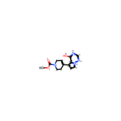 CC(C)(C)OC(=O)N1CC=C(c2ccn3ncnc(O)c23)CC1